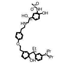 CC[C@H](c1cccc(N(C(C)C)C(C)C)c1)c1cc(CCOc2ccc(CCNC[C@H](O)c3ccc(O)c(NS(C)(=O)=O)c3)cc2)ccc1O